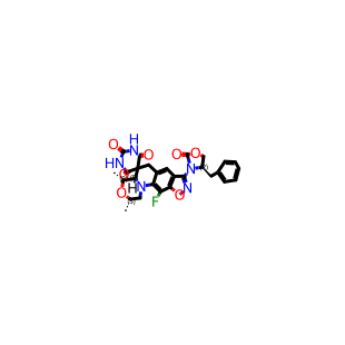 C[C@H]1CN2c3c(cc4c(N5C(=O)OC[C@H]5Cc5ccccc5)noc4c3F)CC3(C(=O)NC(=O)NC3=O)[C@@H]2[C@@H](C)O1